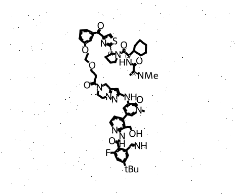 CN[C@@H](C)C(=O)N[C@H](C(=O)N1CCC[C@H]1c1nc(C(=O)c2cccc(OCCOCCC(=O)N3CCn4nc(Nc5cc(-c6ccnc(NC(=O)c7c(F)cc(C(C)(C)C)cc7C=N)c6CO)cn(C)c5=O)cc4C3)c2)cs1)C1CCCCC1